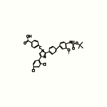 COc1cc(-c2ccc(-c3nc(-c4ccc(Cl)cc4Cl)cn3Cc3ccc(C(=O)O)cc3)cc2)ccc1NC(=O)OC(C)(C)C